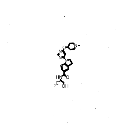 C[C@H](CO)NC(=O)c1ccc2c(c1)CCN2c1cc(OC2CCNCC2)ncn1